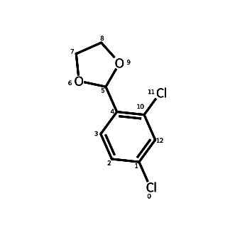 Clc1ccc(C2OCCO2)c(Cl)c1